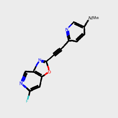 CNc1ccc(C#Cc2nc3cnc(F)cc3o2)nc1